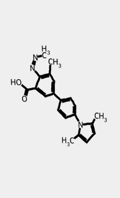 C/N=N\c1c(C)cc(-c2ccc(-n3c(C)ccc3C)cc2)cc1C(=O)O